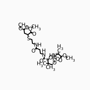 COC(=O)CC(SCCNC(=O)CCNC(=O)[C@@H]1OP(=O)(N[C@@H](C)C(=O)OC)OCC1(C)C)C(=O)OC